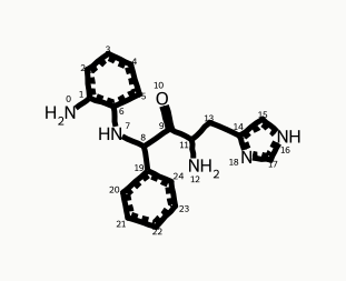 Nc1ccccc1NC(C(=O)C(N)Cc1c[nH]cn1)c1ccccc1